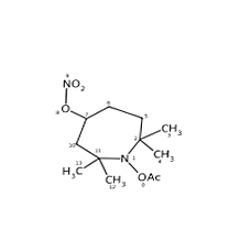 CC(=O)ON1C(C)(C)CCC(O[N+](=O)[O-])CC1(C)C